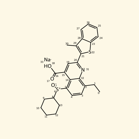 CCc1ccc([S+]([O-])C2CCCCC2)c2c(C(=O)O)cc(-c3sc4ccccc4c3C)nc12.[Na]